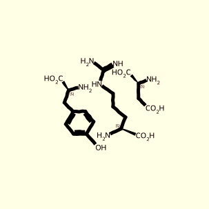 N=C(N)NCCC[C@H](N)C(=O)O.N[C@@H](CC(=O)O)C(=O)O.N[C@@H](Cc1ccc(O)cc1)C(=O)O